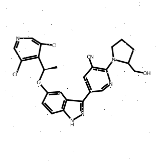 C[C@@H](Oc1ccc2[nH]nc(-c3cnc(N4CCCC4CO)c(C#N)c3)c2c1)c1c(Cl)cncc1Cl